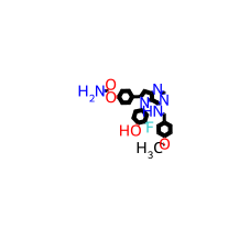 COc1ccc(CNc2ncnc3cc(-c4ccc(OC(N)=O)cc4)n(-c4ccc(O)c(F)c4)c23)cc1